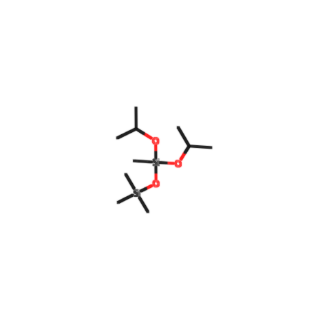 CC(C)O[Si](C)(OC(C)C)O[Si](C)(C)C